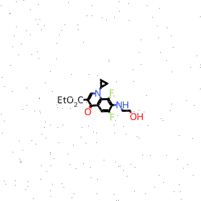 CCOC(=O)c1cn(C2CC2)c2c(F)c(NCCO)c(F)cc2c1=O